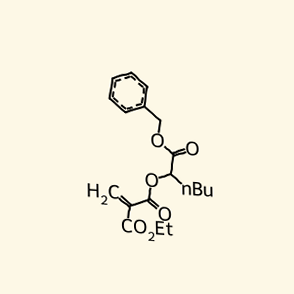 C=C(C(=O)OCC)C(=O)OC(CCCC)C(=O)OCc1ccccc1